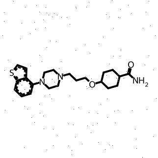 NC(=O)C1CCC(OCCCN2CCN(c3cccc4sccc34)CC2)CC1